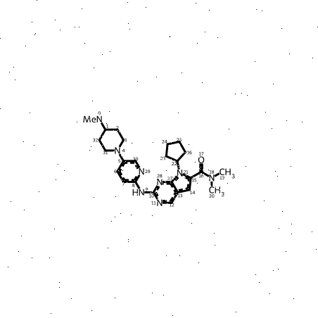 CNC1CCN(c2ccc(Nc3ncc4cc(C(=O)N(C)C)n(C5CCCC5)c4n3)nc2)CC1